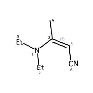 CCN(CC)/C(C)=C\C#N